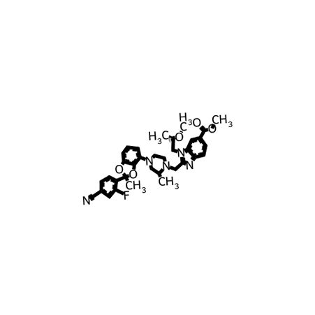 COC(=O)c1ccc2nc(CN3CCN(c4cccc5c4OC(C)(c4ccc(C#N)cc4F)O5)CC3C)n(C[C@@H](C)OC)c2c1